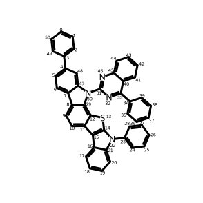 c1ccc(-c2ccc3c4ccc5c(sc6c5c5ccccc5n6-c5ccccc5)c4n(-c4nc(-c5ccccc5)c5ccccc5n4)c3c2)cc1